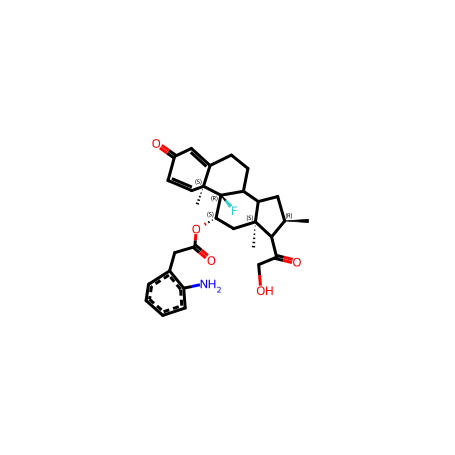 C[C@@H]1CC2C3CCC4=CC(=O)C=C[C@]4(C)[C@@]3(F)[C@@H](OC(=O)Cc3ccccc3N)C[C@]2(C)C1C(=O)CO